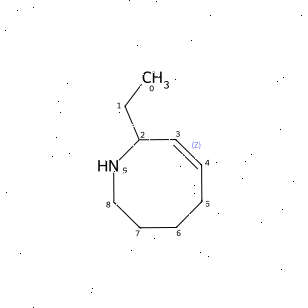 CCC1/C=C\CCCCN1